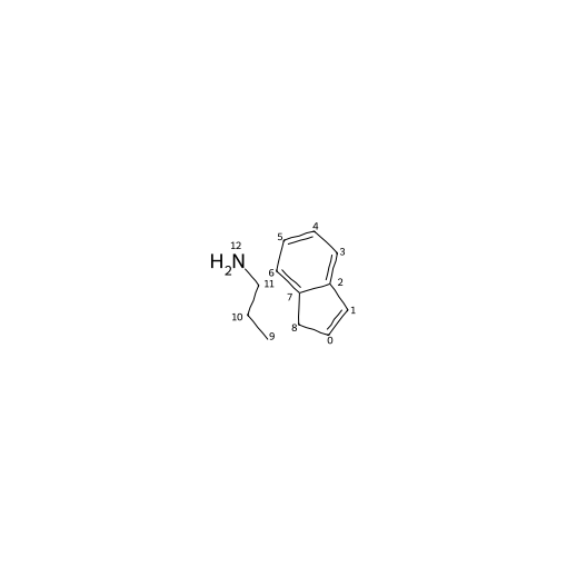 C1=Cc2ccccc2C1.CCCN